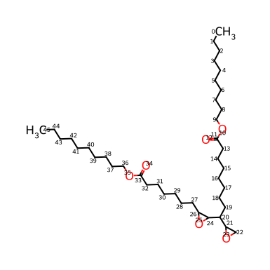 CCCCCCCCCCOC(=O)CCCCCCCC(C1CO1)C1OC1CCCCCCC(=O)OCCCCCCCCCC